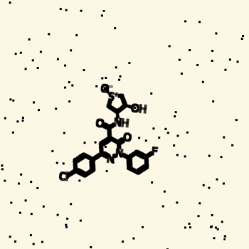 O=C(N[C@H]1C[S@@+]([O-])C[C@H]1O)c1cc(-c2ccc(Cl)cc2)nn(-c2cccc(F)c2)c1=O